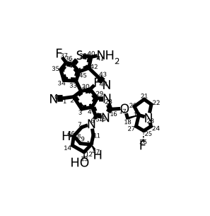 N#Cc1cc2c(N3C[C@@H]4C[C@H](C3)[C@H](O)C4)nc(OC[C@@]34CCCN3C[C@H](F)C4)nc2c(F)c1-c1ccc(F)c2sc(N)c(C#N)c12